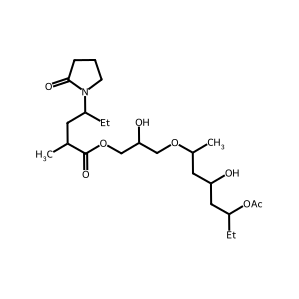 CCC(CC(O)CC(C)OCC(O)COC(=O)C(C)CC(CC)N1CCCC1=O)OC(C)=O